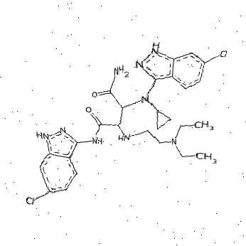 CCN(CC)CCNC(C(=O)Nc1n[nH]c2cc(Cl)ccc12)C(C(N)=O)N(c1n[nH]c2cc(Cl)ccc12)C1CC1